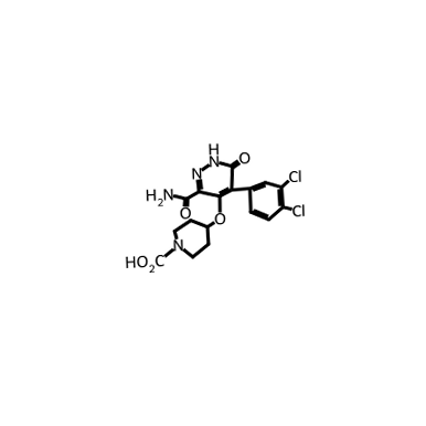 NC(=O)c1n[nH]c(=O)c(-c2ccc(Cl)c(Cl)c2)c1OC1CCN(C(=O)O)CC1